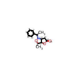 C[C@@H]1ON([C@H](C)c2ccccc2)C2CC(=O)OC21